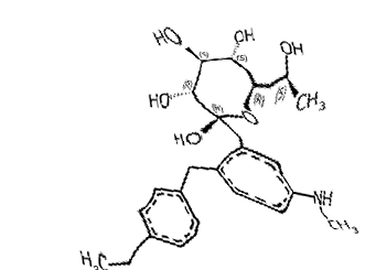 CCc1ccc(Cc2ccc(NC)cc2[C@@]2(O)O[C@H]([C@H](C)O)[C@@H](O)[C@H](O)[C@H]2O)cc1